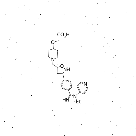 CCN(C(=N)c1ccc(C2CC(CN3CCC(OCC(=O)O)CC3)ON2)cc1)c1ccncc1